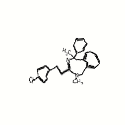 CN1Cc2ccccc2C(C)(c2ccccc2)N=C1CCc1ccc(Cl)cc1